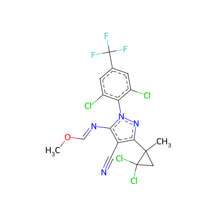 COC=Nc1c(C#N)c(C2(C)CC2(Cl)Cl)nn1-c1c(Cl)cc(C(F)(F)F)cc1Cl